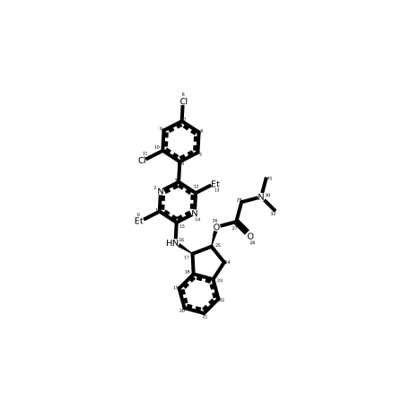 CCc1nc(-c2ccc(Cl)cc2Cl)c(CC)nc1N[C@@H]1c2ccccc2C[C@@H]1OC(=O)CN(C)C